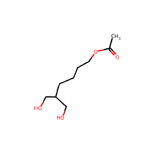 CC(=O)OCCCCC(CO)CO